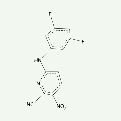 N#Cc1nc(Nc2cc(F)cc(F)c2)ccc1[N+](=O)[O-]